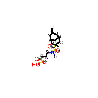 CC1CC2CC(C1)CC(C)(S(=O)(=O)N(C)CCCS(=O)(=O)O)C2